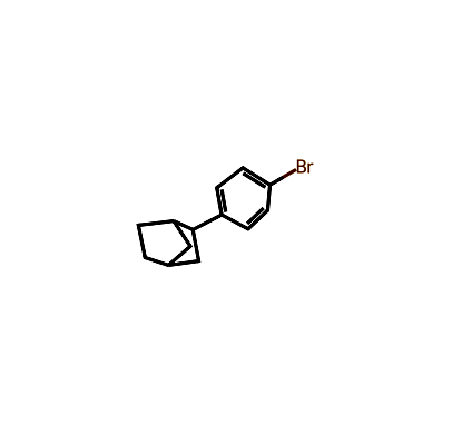 Brc1ccc(C2CC3CCC2C3)cc1